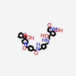 O=C(NCc1ccc(CNCC(O)c2ccc(O)c3[nH]c(=O)ccc23)cc1)c1ccc(C(=O)N2CCC(C(=O)O)(c3ccccc3)CC2)cc1